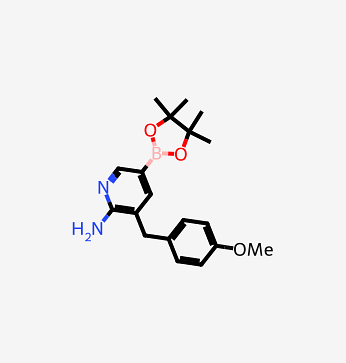 COc1ccc(Cc2cc(B3OC(C)(C)C(C)(C)O3)cnc2N)cc1